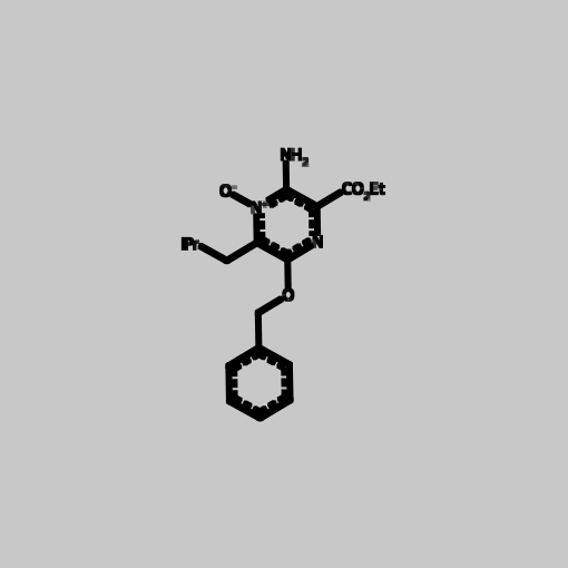 CCOC(=O)c1nc(OCc2ccccc2)c(CC(C)C)[n+]([O-])c1N